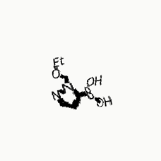 CCOCn1nccc1B(O)O